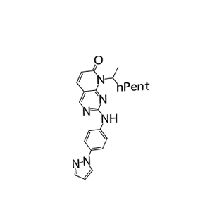 CCCCCC(C)n1c(=O)ccc2cnc(Nc3ccc(-n4cccn4)cc3)nc21